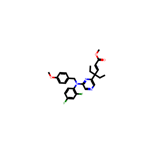 CCC(/C=C/C(=O)OC)(CC)c1cncc(N(Cc2ccc(OC)cc2)c2ccc(F)cc2F)n1